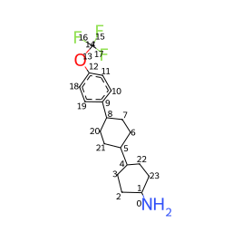 NC1CCC(C2CCC(c3ccc(OC(F)(F)F)cc3)CC2)CC1